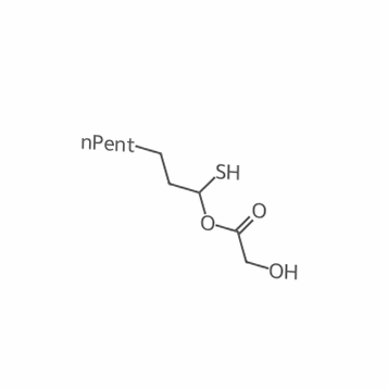 CCCCCCCC(S)OC(=O)CO